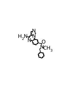 CN(Cc1ccccc1)C(=O)c1ccc2nc(N)c3cncn3c2c1